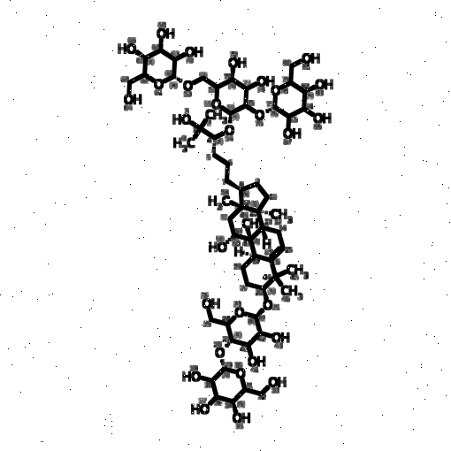 CC(C)(O)[C@@H](CCC[C@H]1CC[C@@]2(C)[C@@H]3CC=C4[C@@H](CC[C@H](O[C@@H]5OC(CO)[C@@H](O[C@@H]6OC(CO)[C@@H](O)C(O)C6O)C(O)C5O)C4(C)C)[C@]3(C)[C@H](O)C[C@]12C)O[C@@H]1OC(CO[C@@H]2OC(CO)[C@@H](O)C(O)C2O)[C@@H](O)C(O)C1O[C@@H]1OC(CO)[C@@H](O)C(O)C1O